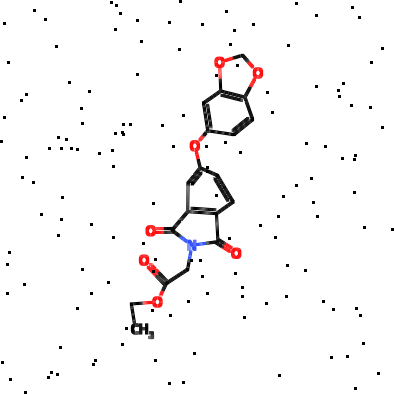 CCOC(=O)CN1C(=O)c2ccc(Oc3ccc4c(c3)OCO4)cc2C1=O